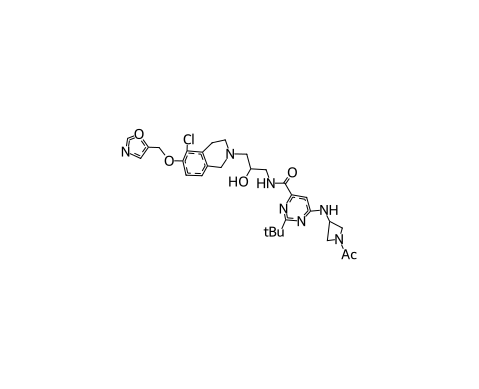 CC(=O)N1CC(Nc2cc(C(=O)NCC(O)CN3CCc4c(ccc(OCc5cnco5)c4Cl)C3)nc(C(C)(C)C)n2)C1